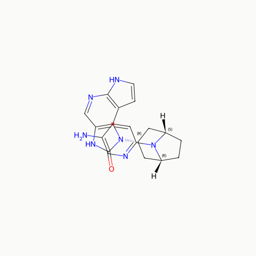 Nc1ccc(N2[C@@H]3CC[C@H]2C[C@@H](n2c(=O)[nH]c4cnc5[nH]ccc5c42)C3)nc1